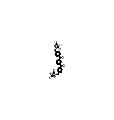 O=C(c1ccc(Cn2oc(=O)[nH]c2=O)cc1)c1cccc(C(=O)c2ccc(Cn3oc(=O)[nH]c3=O)cc2)c1